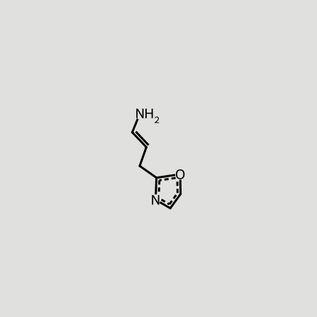 NC=CCc1ncco1